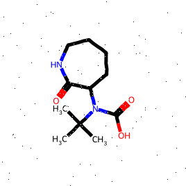 CC(C)(C)N(C(=O)O)C1CCCCNC1=O